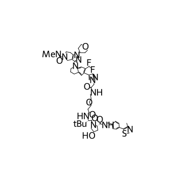 CNC(=O)N1CCc2c(c(N3CCCc4cc(-c5cnn(CC(=O)NCCOCCC(=O)N[C@H](C(=O)N6C[C@H](O)C[C@H]6C(=O)NCc6ccc(-c7scnc7C)cc6)C(C)(C)C)c5)c(C(F)F)cc43)nn2C2CCOCC2)C1